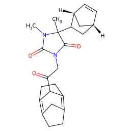 CN1C(=O)N(CC(=O)C2C3=C4CCC(=C2CC3)C4)C(=O)C1(C)C1C[C@H]2C=C[C@@H]1C2